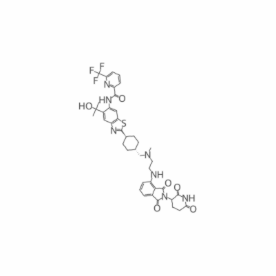 CN(CCNc1cccc2c1C(=O)N(C1CCC(=O)NC1=O)C2=O)C[C@H]1CC[C@H](c2nc3cc(C(C)(C)O)c(NC(=O)c4cccc(C(F)(F)F)n4)cc3s2)CC1